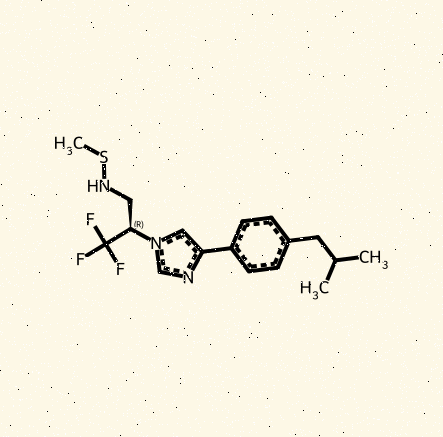 CSNC[C@@H](n1cnc(-c2ccc(CC(C)C)cc2)c1)C(F)(F)F